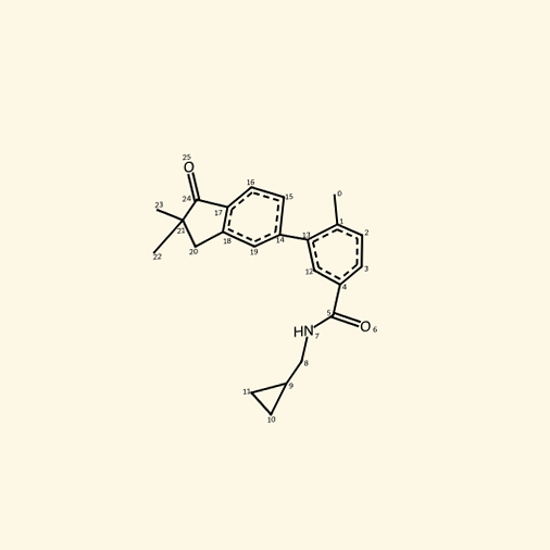 Cc1ccc(C(=O)NCC2CC2)cc1-c1ccc2c(c1)CC(C)(C)C2=O